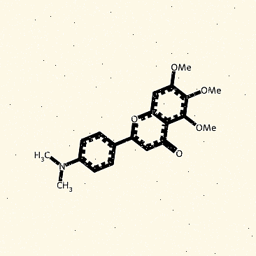 COc1cc2oc(-c3ccc(N(C)C)cc3)cc(=O)c2c(OC)c1OC